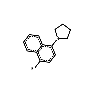 Brc1ccc(N2CCCC2)c2ccccc12